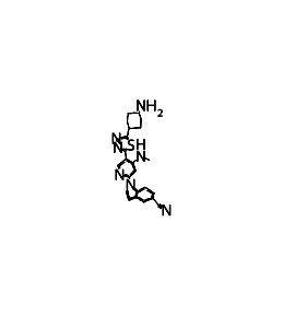 CNc1cc(-n2ccc3cc(C#N)ccc32)ncc1-c1nnc(C2CCC(N)CC2)s1